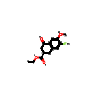 CCOC(=O)[C@H]1CC(=O)c2cc(OC)c(F)cc2C1